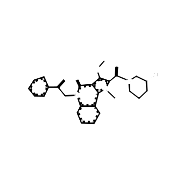 COc1c(C(=O)N2CCC[C@@H](N)C2)n(C)c2c1c(=O)n(CC(=O)c1ccccc1)c1ccccc21.Cl